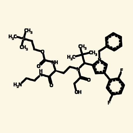 CC(C)(C)C(c1cc(-c2cc(F)ccc2F)cn1Cc1ccccc1)N(CC[C@H](NC(=O)OCC[Si](C)(C)C)C(=O)NCCN)C(=O)CO